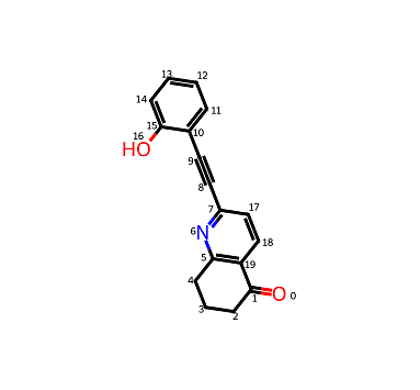 O=C1CCCc2nc(C#Cc3ccccc3O)ccc21